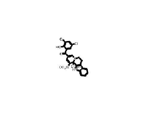 CCOC(=O)C1=CC(C(=O)c2cc(Cl)cc(Cl)c2O)=CN2CCc3c([nH]c4ccccc34)C12C(=O)OCC